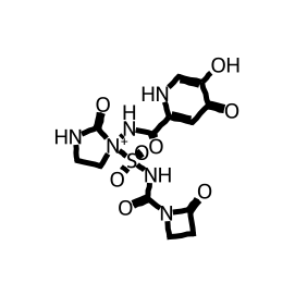 O=C(N[N+]1(S(=O)(=O)NC(=O)N2CCC2=O)CCNC1=O)c1cc(=O)c(O)c[nH]1